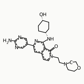 Nc1ncc(-c2cc3ccn(CCN4CCOCC4)c(=O)c3c(N[C@H]3CC[C@@H](O)CC3)n2)cn1